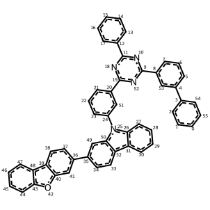 c1ccc(-c2cccc(-c3nc(-c4ccccc4)nc(-c4cccc(-n5c6ccccc6c6ccc(-c7ccc8c(c7)oc7ccccc78)cc65)c4)n3)c2)cc1